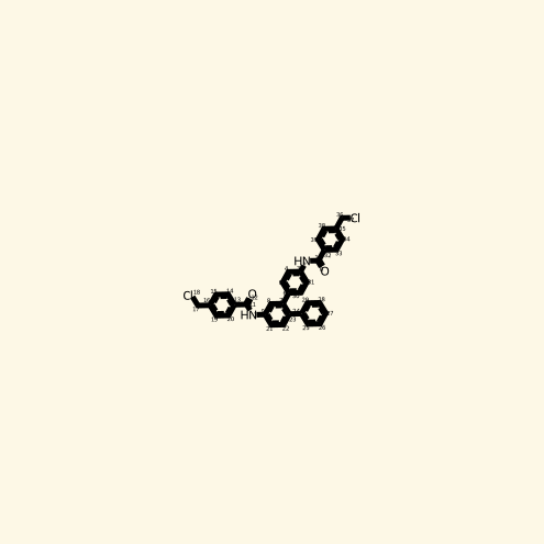 O=C(Nc1ccc(-c2cc(NC(=O)c3ccc(CCl)cc3)ccc2-c2ccccc2)cc1)c1ccc(CCl)cc1